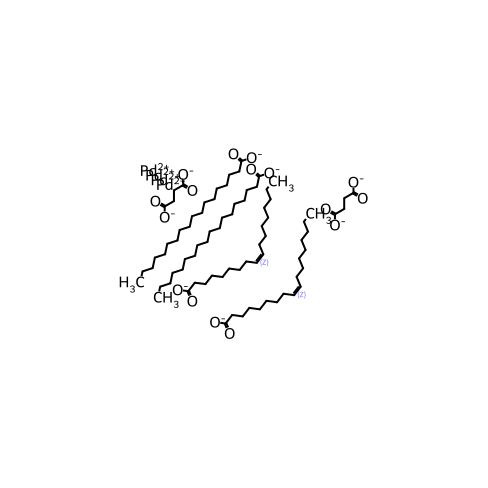 CCCCCCCC/C=C\CCCCCCCC(=O)[O-].CCCCCCCC/C=C\CCCCCCCC(=O)[O-].CCCCCCCCCCCCCCCCCC(=O)[O-].CCCCCCCCCCCCCCCCCC(=O)[O-].O=C([O-])CCC(=O)[O-].O=C([O-])CCC(=O)[O-].[Pd+2].[Pd+2].[Pd+2].[Pd+2]